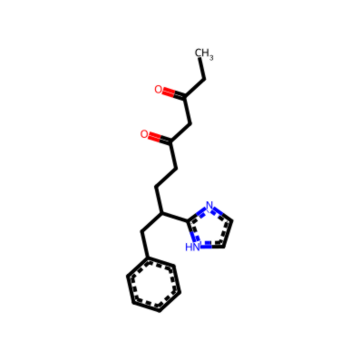 CCC(=O)CC(=O)CCC(Cc1ccccc1)c1ncc[nH]1